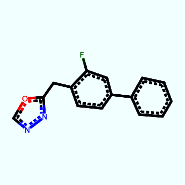 Fc1cc(-c2ccccc2)ccc1Cc1nnco1